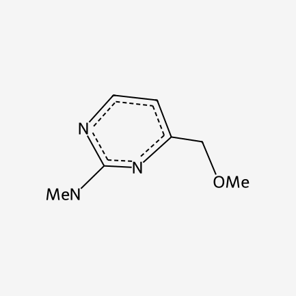 CNc1nccc(COC)n1